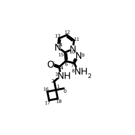 CC1(CNC(=O)c2c(N)nn3cccnc23)CCC1